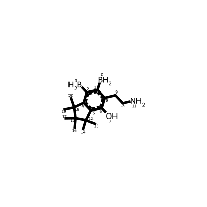 Bc1c(B)c2c(c(O)c1CCN)C(C)(C)C(C)(C)C2(C)C